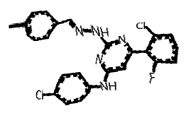 Cc1ccc(C=NNc2nc(Nc3ccc(Cl)cc3)cc(-c3c(F)cccc3Cl)n2)cc1